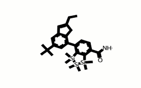 CCC1=Cc2cc(C(C)(C)C)cc(-c3ccc(C([NH])=O)c4c3[Si](C)(C)[Si](C)(C)[Si]4(C)C)c2C1